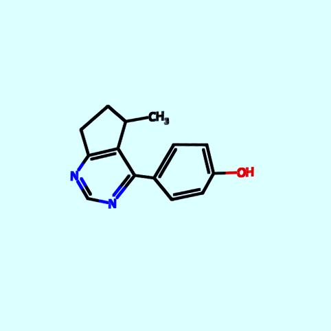 CC1CCc2ncnc(-c3ccc(O)cc3)c21